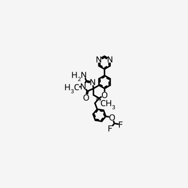 CN1C(=O)C2(C[C@@](C)(Cc3cccc(OC(F)F)c3)Oc3ccc(-c4cncnc4)cc32)N=C1N